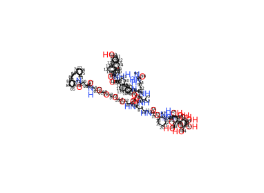 CC(C)[C@H](NC(=O)[C@@H](CCCCNC(=O)COC1CCCCC/C(N[C@H]2O[C@H](CO)C([C@H]3O[C@H](CO)[C@@H](O)[C@H](O)[C@H]3O)[C@H](O)[C@H]2O)=C\1N)NC(=O)CCOCCOCCOCCOCCNC(=O)CCC(=O)N1Cc2ccccc2C#Cc2ccccc21)C(=O)N[C@@H](CCCNC(N)=O)C(=O)Nc1ccc2c(c1)[C@@]1(C)CCC[C@](C)(C(=O)NC(=O)[C@@]3(C)CCC[C@]4(C)c5cc(O)ccc5CC[C@@H]34)C1CC2